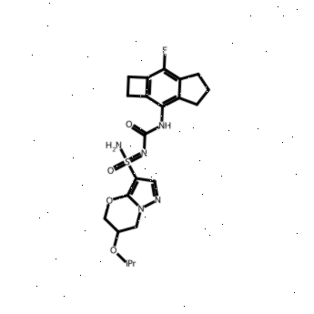 CC(C)OC1COc2c(S(N)(=O)=NC(=O)Nc3c4c(c(F)c5c3CC5)CCC4)cnn2C1